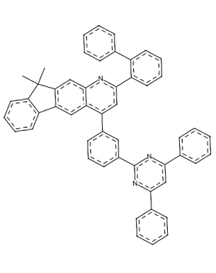 CC1(C)c2ccccc2-c2cc3c(-c4cccc(-c5nc(-c6ccccc6)cc(-c6ccccc6)n5)c4)cc(-c4ccccc4-c4ccccc4)nc3cc21